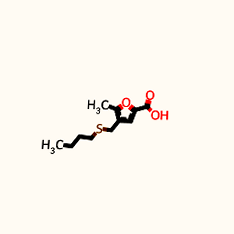 CCCCSCc1cc(C(=O)O)oc1C